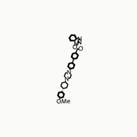 COc1ccc([C@H]2CC[C@H](N3CCN(c4ccc(-c5ccc(C(=O)On6nnc7ccccc76)cc5)cc4)CC3)CC2)cc1